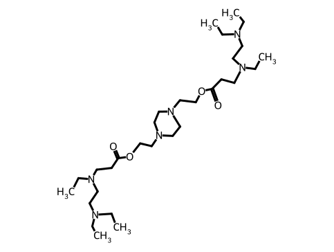 CCN(CC)CCN(CC)CCC(=O)OCCN1CCN(CCOC(=O)CCN(CC)CCN(CC)CC)CC1